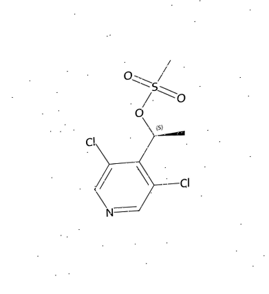 C[C@H](OS(C)(=O)=O)c1c(Cl)cncc1Cl